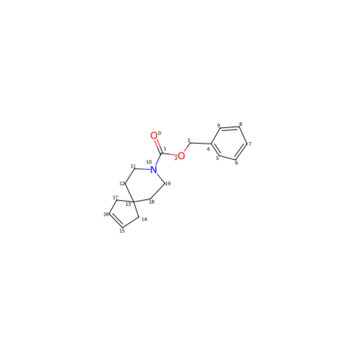 O=C(OCc1ccccc1)N1CCC2(CC=CC2)CC1